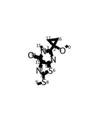 COC1(c2nc3sc(SC)nc3c(=O)n2C)CC1